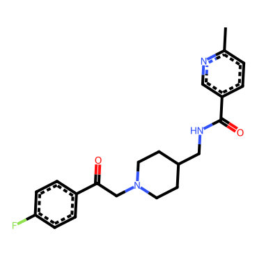 Cc1ccc(C(=O)NCC2CCN(CC(=O)c3ccc(F)cc3)CC2)cn1